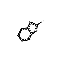 Clc1nc2c[c]ccc2s1